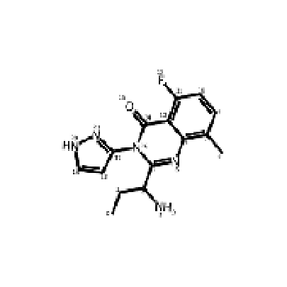 CCC(N)c1nc2c(C)ccc(F)c2c(=O)n1-c1cc[nH]n1